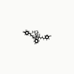 Cc1ccc(CCCCn2c(=N)n(CCCCc3ccc(C)cc3)c3ccccc32)cc1.Cl